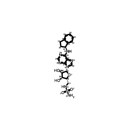 NS(=O)(=O)NC[C@H]1O[C@@H](n2cnc3c(N[C@H]4CCc5ccccc54)ncnc32)[C@H](O)[C@@H]1O